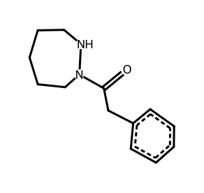 O=C(Cc1ccccc1)N1CCCCCN1